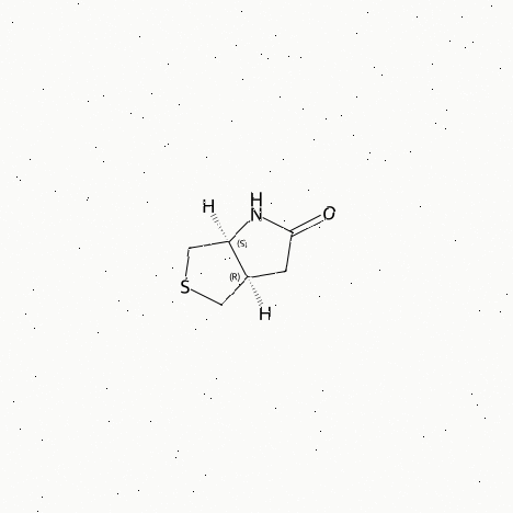 O=C1C[C@H]2CSC[C@H]2N1